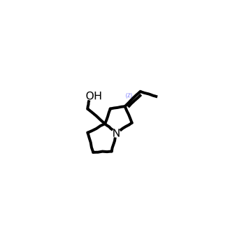 C/C=C1\CN2CCCC2(CO)C1